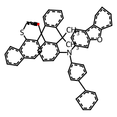 CC1(C)c2ccccc2C2(c3ccccc3Sc3c2ccc2ccccc32)c2cccc(N(c3ccc(-c4ccccc4)cc3)c3ccc4c(c3)oc3ccccc34)c21